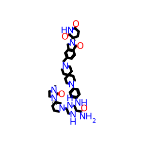 CN1CCN([C@@H]2CCCN(C3CNC(C(N)=O)C(Nc4ccc(N5CCC6(CCN(Cc7ccc8c(c7)CN([C@@H]7CCC(=O)NC7=O)C8=O)CC6)CC5)cc4)N3)C2)C1=O